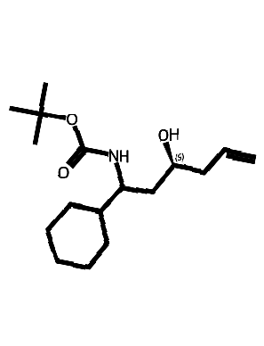 C=CC[C@H](O)CC(NC(=O)OC(C)(C)C)C1CCCCC1